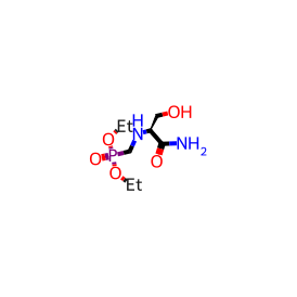 CCOP(=O)(CN[C@@H](CO)C(N)=O)OCC